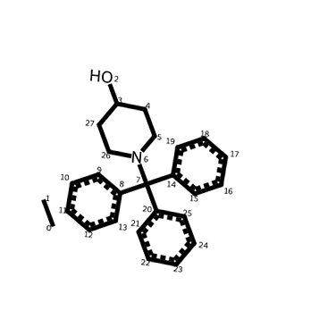 CC.OC1CCN(C(c2ccccc2)(c2ccccc2)c2ccccc2)CC1